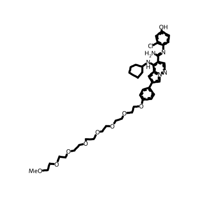 COCCOCCOCCOCCOCCOCCOCCOc1ccc(-c2cc3c(NC4CCCCC4)c(/C(N)=N/c4ccc(O)cc4Cl)cnn3c2)cc1